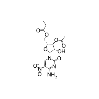 CCC(=O)OC[C@H]1O[C@@H](n2cc([N+](=O)[O-])c(N)nc2=O)[C@@H](O)[C@@H]1OC(C)=O